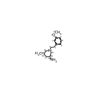 COc1cccc(CCN2C[C@@H](C)C[C@@H](N)C2)c1